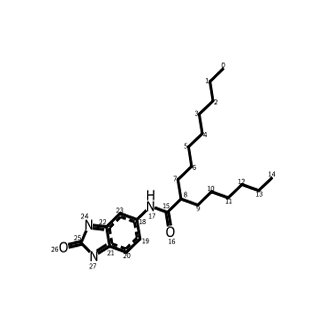 CCCCCCCCC(CCCCCC)C(=O)Nc1ccc2c(c1)=NC(=O)N=2